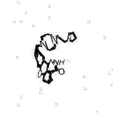 O=c1[nH]nc2c3c(cccc13)Oc1ccc(CN3CCN(CCN4CCCC4)CC3)cc1-2